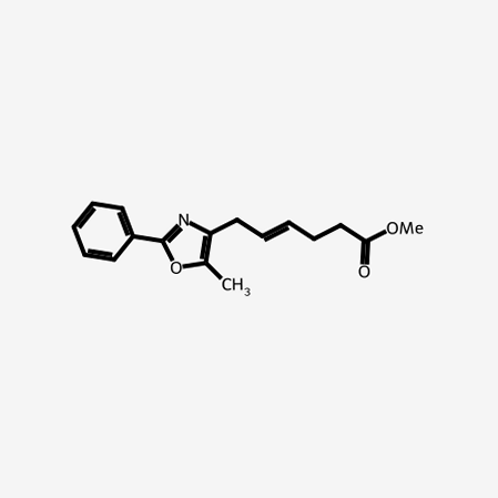 COC(=O)CC/C=C/Cc1nc(-c2ccccc2)oc1C